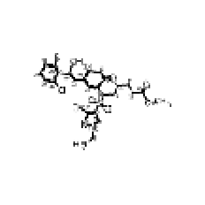 CCn1cc(S(=O)(=O)N2CC(CCC(=O)OC)Oc3ccc(/C=C(\C)c4c(F)cccc4Cl)cc32)c(Cl)n1